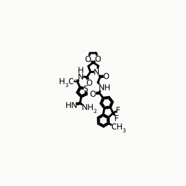 Cc1cccc2c1C(F)(F)c1ccc(C(=O)NCC(=O)N3CC4(CC3C(=O)N[C@H](C)c3cc(C(=N)N)cs3)OCCO4)cc1-2